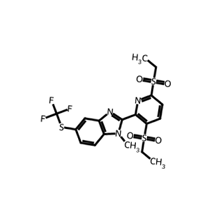 CCS(=O)(=O)c1ccc(S(=O)(=O)CC)c(-c2nc3cc(SC(F)(F)F)ccc3n2C)n1